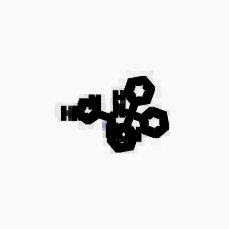 O/N=C(\NC(c1ccccc1)(c1ccccc1)c1ccccc1)c1c[nH]cn1